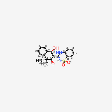 CC1(C)C(=O)C(C2=NS(=O)(=O)c3ccccc3N2)=C(O)c2ccccc21